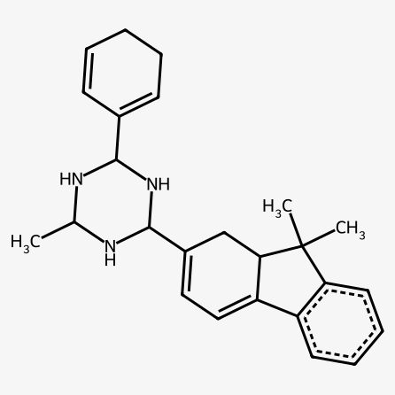 CC1NC(C2=CCCC=C2)NC(C2=CC=C3c4ccccc4C(C)(C)C3C2)N1